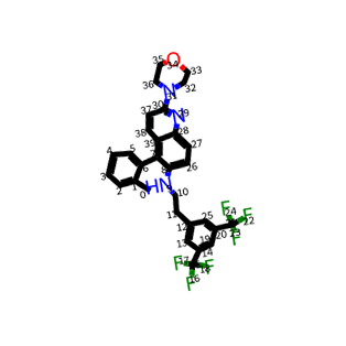 Cc1ccccc1-c1c(NCCc2cc(C(F)(F)F)cc(C(F)(F)F)c2)ccc2nc(N3CCOCC3)ccc12